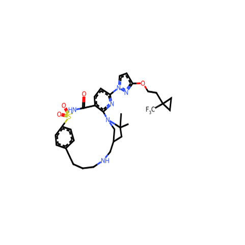 CC1(C)CC2CNCCCc3ccc(cc3)S(=O)(=O)NC(=O)c3ccc(-n4ccc(OCCC5(C(F)(F)F)CC5)n4)nc3N1C2